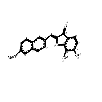 COc1ccc2cc(/C=C3\Oc4c(ccc(O)c4O)C3=O)ccc2c1